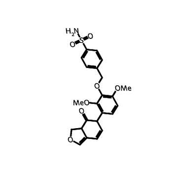 COc1ccc(C2C=CC3=COCC3C2=O)c(OC)c1OCc1ccc(S(N)(=O)=O)cc1